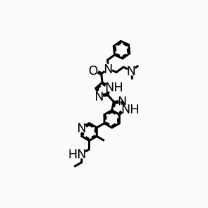 CCNCc1cncc(-c2ccc3[nH]nc(-c4ncc(C(=O)N(CCN(C)C)Cc5ccccc5)[nH]4)c3c2)c1C